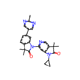 Cc1ncc(-c2ccc3c(c2)N(c2cc4c(cn2)C(C)(C)C(=O)N4C2CC2)C(=O)C3(C)C)cn1